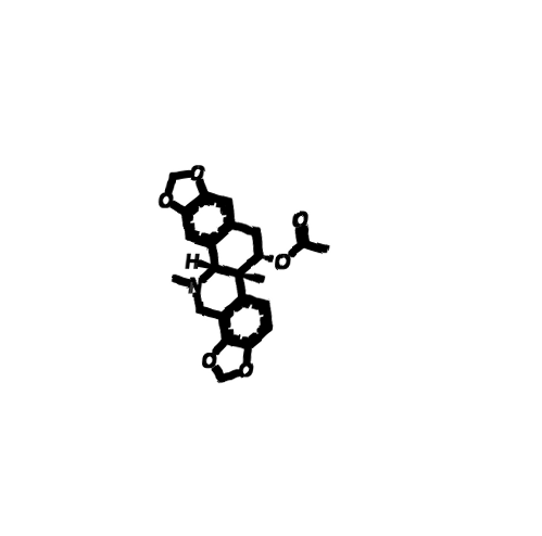 CC(=O)O[C@H]1Cc2cc3c(cc2[C@H]2N(C)Cc4c(ccc5c4OCO5)[C@@]12C)OCO3